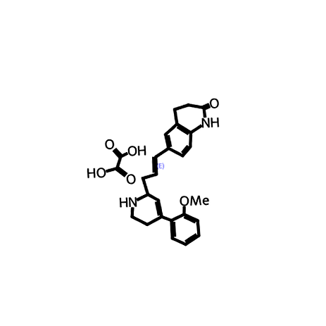 COc1ccccc1C1=CC(C/C=C/c2ccc3c(c2)CCC(=O)N3)NCC1.O=C(O)C(=O)O